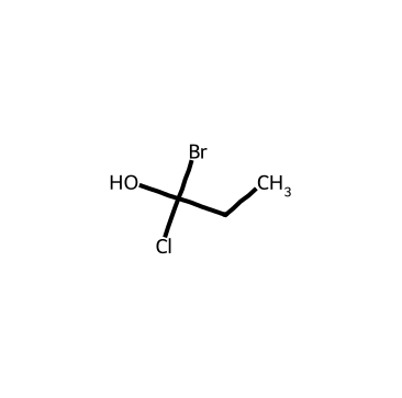 CCC(O)(Cl)Br